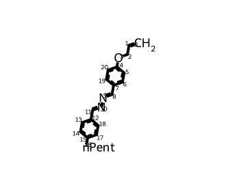 C=CCOc1ccc(C=NN=Cc2ccc(CCCCC)cc2)cc1